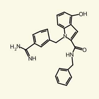 N=C(N)c1cccc(Cn2c(C(=O)NCc3ccccc3)cc3c(O)cccc32)c1